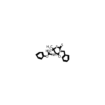 CC1(C)SC(=S)N(Cc2ccccc2)C(=O)C1NC(=O)Oc1ccccc1